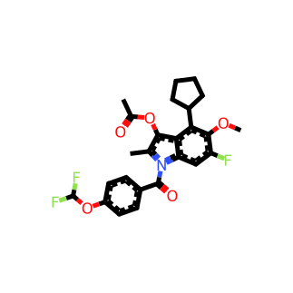 COc1c(F)cc2c(c(OC(C)=O)c(C)n2C(=O)c2ccc(OC(F)F)cc2)c1C1CCCC1